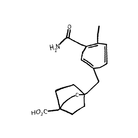 Cc1ccc(CC23CCC(C(=O)O)(CC2)CC3)cc1C(N)=O